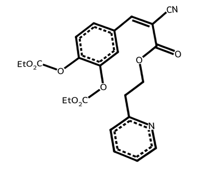 CCOC(=O)Oc1ccc(C=C(C#N)C(=O)OCCc2ccccn2)cc1OC(=O)OCC